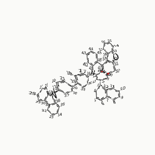 c1cc(-c2cccc3ccccc23)cc(N(c2ccc(-c3ccc(-n4c5ccccc5c5ccccc54)cc3)cc2)c2ccccc2-c2cccc3oc4ccccc4c23)c1